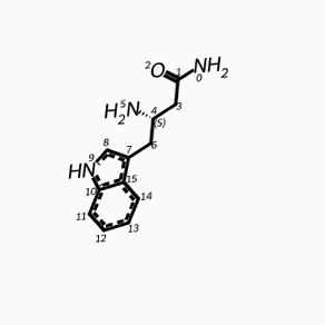 NC(=O)C[C@@H](N)Cc1c[nH]c2ccccc12